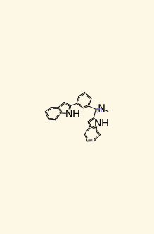 C/N=C(/c1cccc(-c2cc3ccccc3[nH]2)c1)c1cc2ccccc2[nH]1